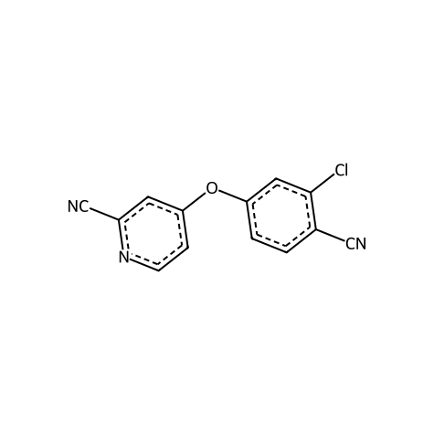 N#Cc1cc(Oc2ccc(C#N)c(Cl)c2)ccn1